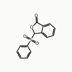 O=C1OC(S(=O)(=O)c2ccccc2)c2ccccc21